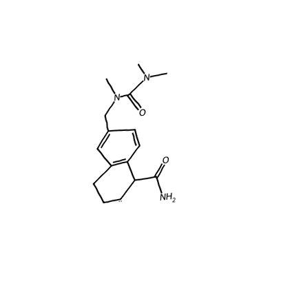 CN(C)C(=O)N(C)Cc1ccc2c(c1)CC[C]C2C(N)=O